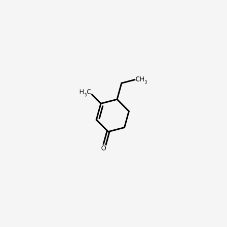 CCC1CCC(=O)C=C1C